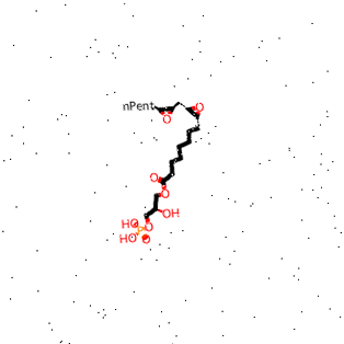 CCCCC[C@@H]1O[C@@H]1C[C@@H]1O[C@@H]1CCCCCCCC(=O)OC[C@@H](O)COP(=O)(O)O